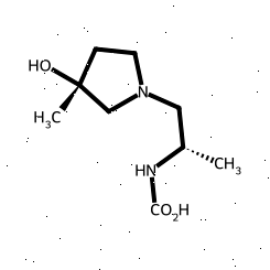 C[C@@H](CN1CC[C@@](C)(O)C1)NC(=O)O